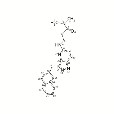 CN(C)C(=O)CCNc1cnc2nnn(Cc3ccc4ncccc4c3)c2n1